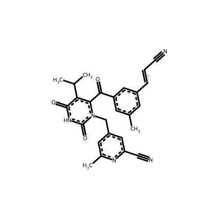 Cc1cc(/C=C/C#N)cc(C(=O)c2c(C(C)C)c(=O)[nH]c(=O)n2Cc2cc(C)nc(C#N)c2)c1